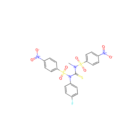 CN(C(=S)N(c1ccc(F)cc1)S(=O)(=O)c1ccc([N+](=O)[O-])cc1)S(=O)(=O)c1ccc([N+](=O)[O-])cc1